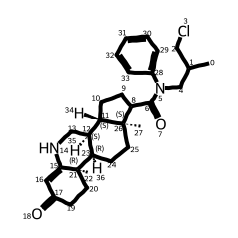 CC(CCl)CN(C(=O)C1CC[C@H]2[C@@H]3CNC4=CC(=O)CC[C@]4(C)[C@@H]3CC[C@]12C)c1ccccc1